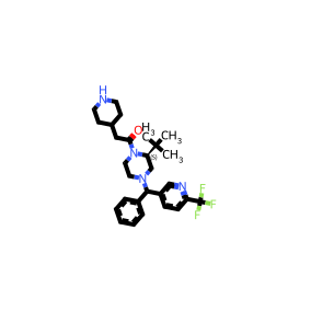 CC(C)(C)[C@H]1CN(C(c2ccccc2)c2ccc(C(F)(F)F)nc2)CCN1C(=O)CC1CCNCC1